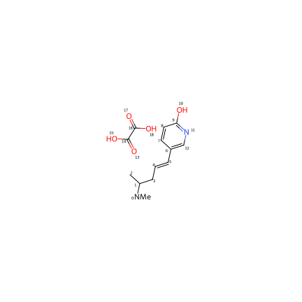 CNC(C)C/C=C/c1ccc(O)nc1.O=C(O)C(=O)O